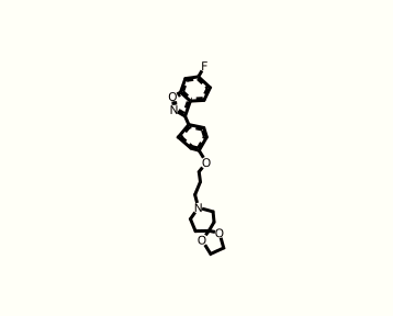 Fc1ccc2c(-c3ccc(OCCCN4CCC5(CC4)OCCO5)cc3)noc2c1